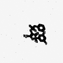 [2H]C1(c2cc(F)cc(Cl)c2)OC(N)=C(OS(=O)(=O)Cc2ccccc2)C1=O